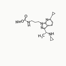 COC(=O)NCCCn1nc(C(C)NC2CC2)c2ccc(C3CC3)nc21